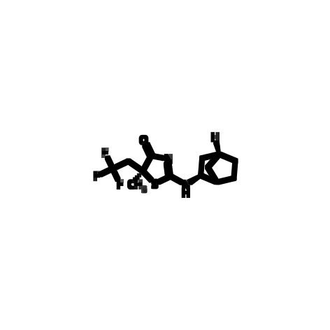 C[C@@]1(CC(F)(F)F)SC(N[C@H]2C[C@@H]3CCC2C3)=NC1=O